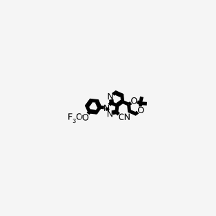 CC1(C)OCCC(c2ccnc3c2c(C#N)nn3-c2cccc(OC(F)(F)F)c2)O1